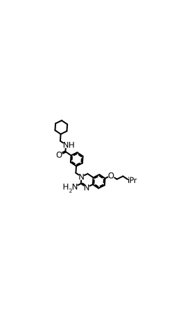 CC(C)CCOc1ccc2c(c1)CN(Cc1cccc(C(=O)NCC3CCCCC3)c1)C(N)=N2